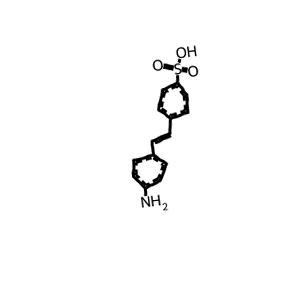 Nc1ccc(C=Cc2ccc(S(=O)(=O)O)cc2)cc1